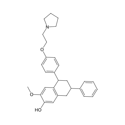 COc1cc2c(cc1O)CC(c1ccccc1)CC2c1ccc(OCCN2CCCC2)cc1